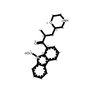 CCCCCCCCn1c2ccccc2c2cccc(C(=O)C(C)CC3CNCCO3)c21